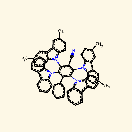 Cc1ccc2c(c1)c1cc(C)ccc1n2-c1c(C#N)c(-n2c3ccc(C)cc3c3cc(C)ccc32)c(-n2c3ccccc3c3ccccc32)c(-c2ccccc2)c1-n1c2ccccc2c2ccccc21